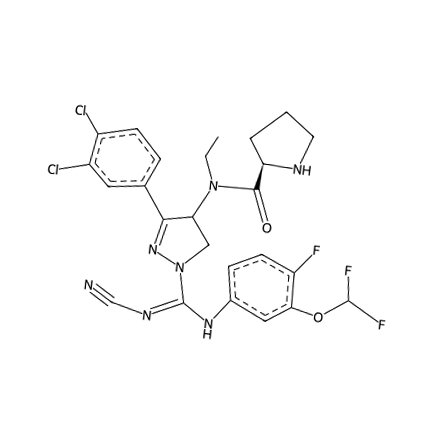 CCN(C(=O)[C@H]1CCCN1)C1CN(/C(=N\C#N)Nc2ccc(F)c(OC(F)F)c2)N=C1c1ccc(Cl)c(Cl)c1